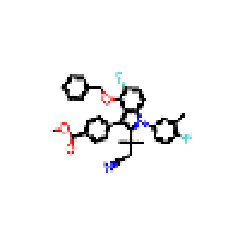 COC(=O)c1ccc(-c2c(C(C)(C)CC#N)n(-c3ccc(F)c(C)c3)c3ccc(F)c(OCc4ccccc4)c23)cc1